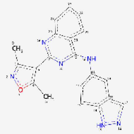 Cc1noc(C)c1-c1nc(Nc2ccc3[nH]ncc3c2)c2ccccc2n1